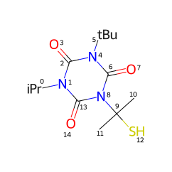 CC(C)n1c(=O)n(C(C)(C)C)c(=O)n(C(C)(C)S)c1=O